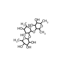 CC1OC(OC2C(OC3C(C)OC(C)C(O)C3O)OC(C)C(O)C2O)C(O)C(O)C1O